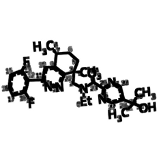 CCN(C[C@@]1(C)CC[C@H](C)c2cc(-c3c(F)cccc3F)nnc21)C(=O)c1ncc(C(C)(C)O)cn1